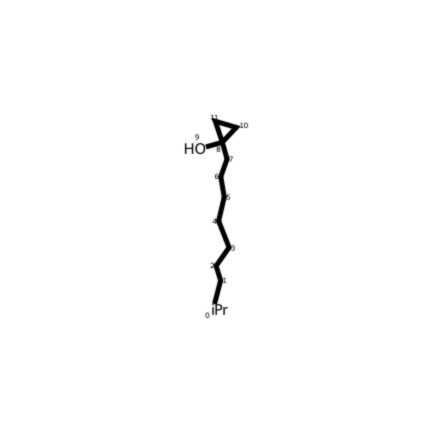 CC(C)CCCCCCCC1(O)CC1